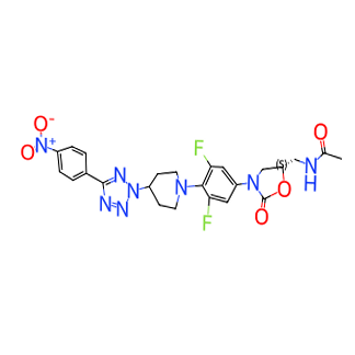 CC(=O)NC[C@H]1CN(c2cc(F)c(N3CCC(n4nnc(-c5ccc([N+](=O)[O-])cc5)n4)CC3)c(F)c2)C(=O)O1